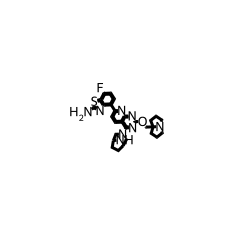 Nc1nc2c(-c3ccc4c(N5CC6CCC(C5)N6)nc(OCC56CCCN5CCC6)nc4n3)ccc(F)c2s1